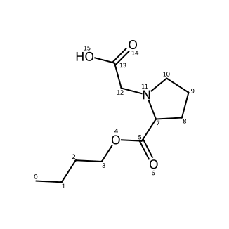 CCCCOC(=O)C1CCCN1CC(=O)O